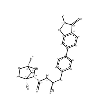 CN1Cc2cc(-c3ccc(C[C@@H](C#N)NC(=O)[C@H]4N[C@@H]5CC[C@H]4C5)cc3)ccc2C1=O